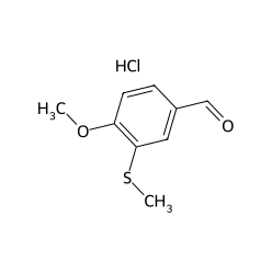 COc1ccc(C=O)cc1SC.Cl